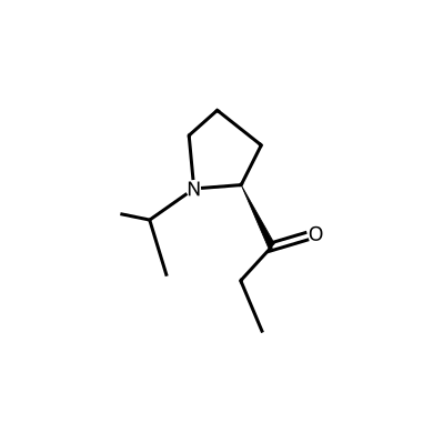 CCC(=O)[C@@H]1CCCN1C(C)C